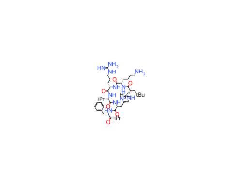 CC(C)C(=O)[C@H](Cc1ccccc1)NC(=O)[C@H](Cc1c[nH]cn1)NC(=O)C(NC(=O)[C@H](CCCNC(=N)N)NC(=O)[C@H](CCCCN)NC(=O)C(C)CC(C)(C)C)C(C)C